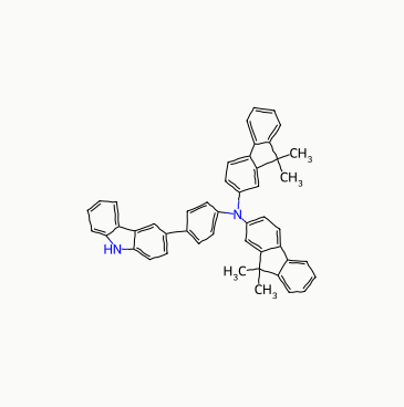 CC1(C)c2ccccc2-c2ccc(N(c3ccc(-c4ccc5[nH]c6ccccc6c5c4)cc3)c3ccc4c(c3)C(C)(C)c3ccccc3-4)cc21